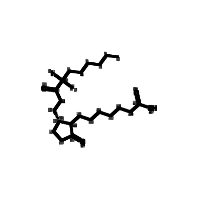 CCCCCCC(F)(F)C(=O)CC[C@H]1CCC(=O)C1CCCCCCC(=O)O